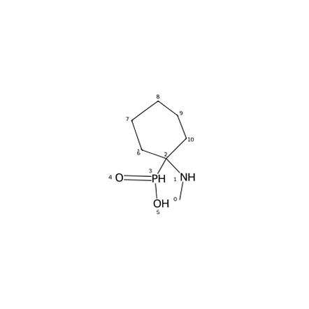 CNC1([PH](=O)O)[CH]CCCC1